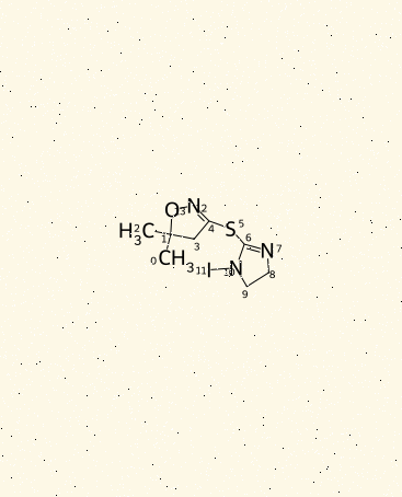 CC1(C)CC(SC2=NCCN2I)=NO1